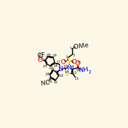 COCCCS(=O)(=O)N1C(C(N)=O)=C(C)SC1N(Cc1ccc(OC(F)(F)F)cc1)c1ccc(C#N)cc1